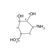 NC1CC(C(=O)O)CC(O)C1O